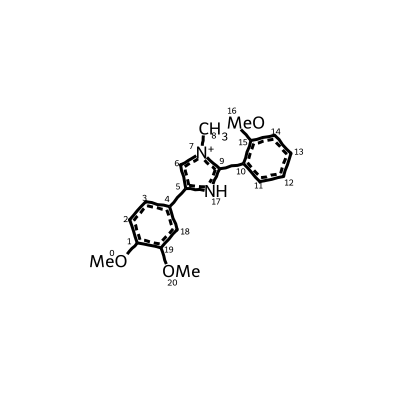 COc1ccc(-c2c[n+](C)c(-c3ccccc3OC)[nH]2)cc1OC